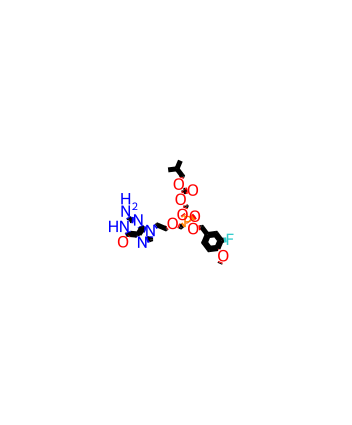 COc1ccc(COP(=O)(COCCn2cnc3c(=O)[nH]c(N)nc32)OCOC(=O)OCC(C)C)cc1F